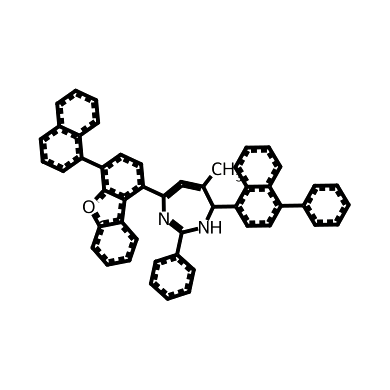 CC1=C=C(c2ccc(-c3cccc4ccccc34)c3oc4ccccc4c23)N=C(c2ccccc2)NC1c1ccc(-c2ccccc2)c2ccccc12